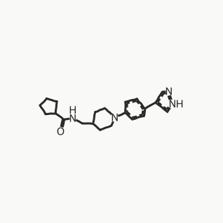 O=C(NCC1CCN(c2ccc(-c3cn[nH]c3)cc2)CC1)C1CCCC1